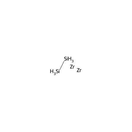 [SiH3][SiH3].[Zr].[Zr]